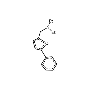 CCN(CC)Cc1ccc(-c2cc[c]cc2)o1